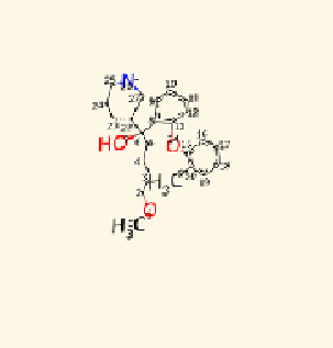 COCCCC[C@@](O)(c1ccccc1Oc1ccccc1C)[C@@H]1CCC[N]C1